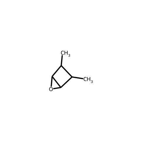 CC1C(C)C2OC12